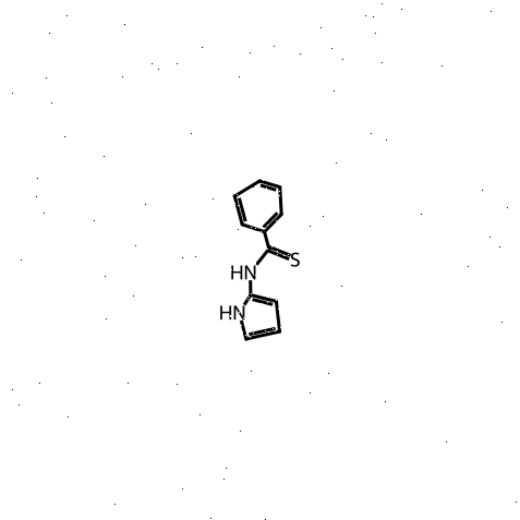 S=C(Nc1ccc[nH]1)c1ccccc1